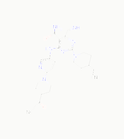 N#CCC(=O)C1CCN(c2ccc(Nc3nc(N4CCC(CC#N)CC4)nc(C=N)c3C(N)=O)cn2)CC1